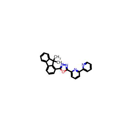 CC1(C)c2ccccc2-c2cccc(-c3nnc(-c4cccc(-c5ccccn5)n4)o3)c21